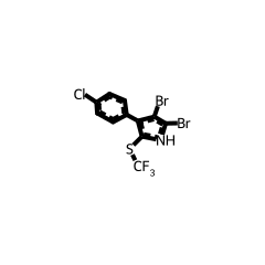 FC(F)(F)Sc1[nH]c(Br)c(Br)c1-c1ccc(Cl)cc1